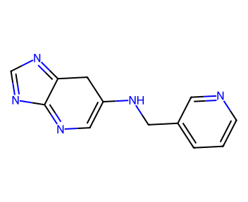 C1=NC2=NC=C(NCc3cccnc3)CC2=N1